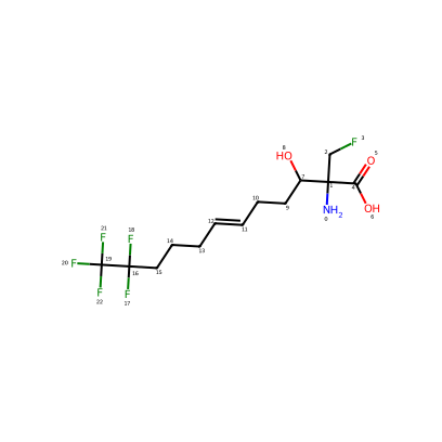 NC(CF)(C(=O)O)C(O)CC/C=C/CCCC(F)(F)C(F)(F)F